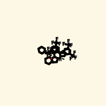 C[C@H](C1CCCC1c1c(C2CCCC2)cccc1P(C1CCCCC1)C1CCCCC1)P(c1cc(C(F)(F)F)cc(C(F)(F)F)c1)c1cc(C(F)(F)F)cc(C(F)(F)F)c1